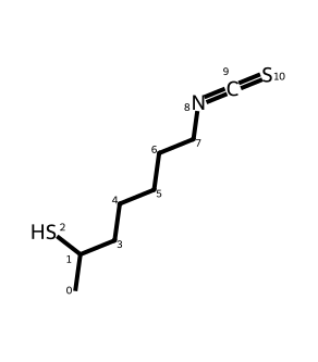 CC(S)CCCCCN=C=S